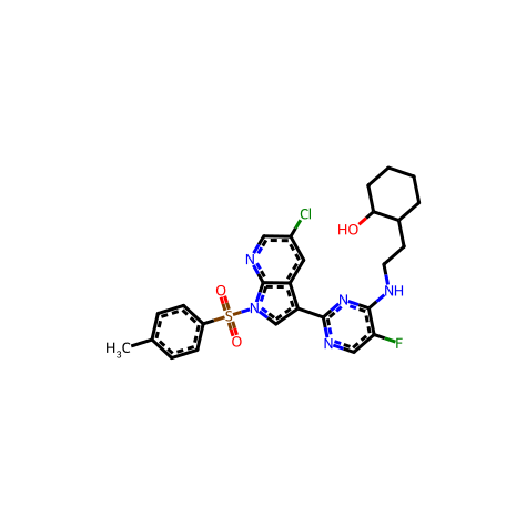 Cc1ccc(S(=O)(=O)n2cc(-c3ncc(F)c(NCCC4CCCCC4O)n3)c3cc(Cl)cnc32)cc1